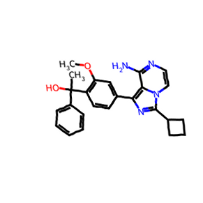 COc1cc(-c2nc(C3CCC3)n3ccnc(N)c23)ccc1C(C)(O)c1ccccc1